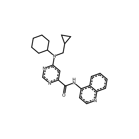 O=C(Nc1ccnc2ccccc12)c1cc(N(CC2CC2)C2CCCCC2)ncn1